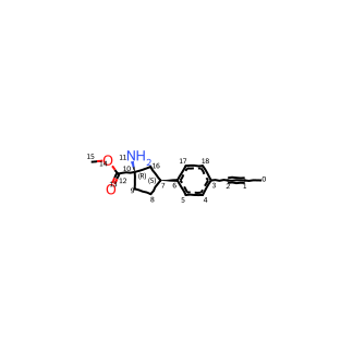 CC#Cc1ccc([C@H]2CC[C@](N)(C(=O)OC)C2)cc1